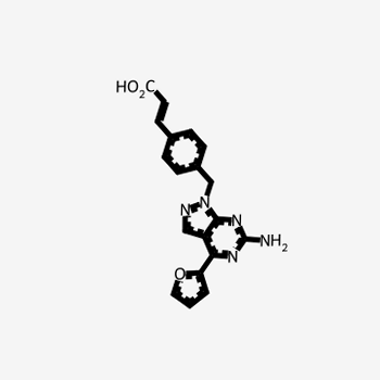 Nc1nc(-c2ccco2)c2cnn(Cc3ccc(/C=C/C(=O)O)cc3)c2n1